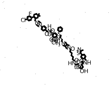 Cc1ncsc1-c1ccc([C@H](C)NC(=O)C2CC(O)CN2C(=O)[C@@H](NC(=O)CCCCCC(=O)N2CC3CN(CC[C@H](CSc4ccccc4)Nc4ccc(S(=O)(=O)NC(=O)c5ccc(N6CCN(CC7=C(c8ccc(Cl)cc8F)CCC(C)(C)C7)CC6)cc5)cc4S(=O)(=O)C(F)(F)F)CC3C2)C(C)(C)C)cc1